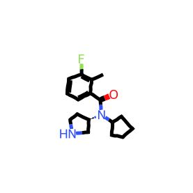 Cc1c(F)cccc1C(=O)N(C1CCCC1)[C@H]1CCNC1